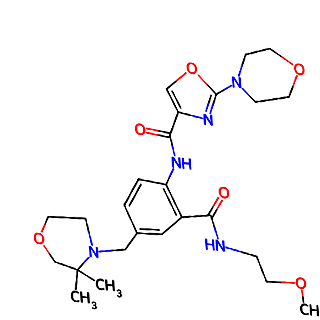 COCCNC(=O)c1cc(CN2CCOCC2(C)C)ccc1NC(=O)c1coc(N2CCOCC2)n1